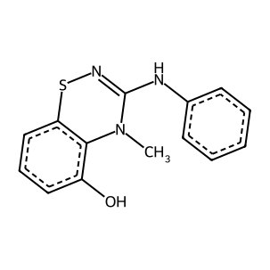 CN1C(Nc2ccccc2)=NSc2cccc(O)c21